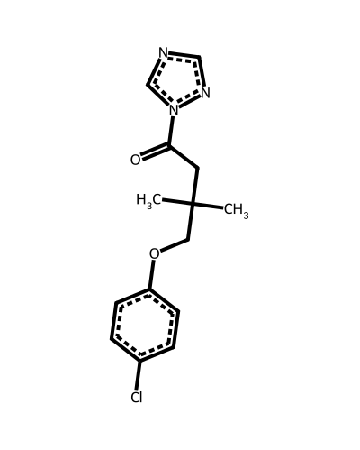 CC(C)(COc1ccc(Cl)cc1)CC(=O)n1cncn1